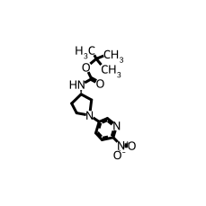 CC(C)(C)OC(=O)N[C@H]1CCN(c2ccc([N+](=O)[O-])nc2)C1